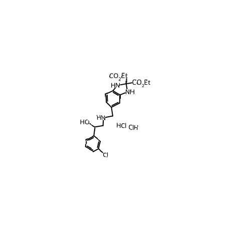 CCOC(=O)C1(C(=O)OCC)Nc2ccc(CNCC(O)c3cccc(Cl)c3)cc2N1.Cl.Cl